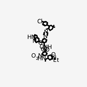 CCN=S1(=O)CCC(C(C)Nc2ccc(S(=O)(=O)NC(=O)c3ccc(N4CCN(CC5=C(c6ccc(Cl)cc6)CC(C)(C)CC5)CC4)cc3Oc3cnc4[nH]ccc4c3)cc2[N+](=O)[O-])CC1